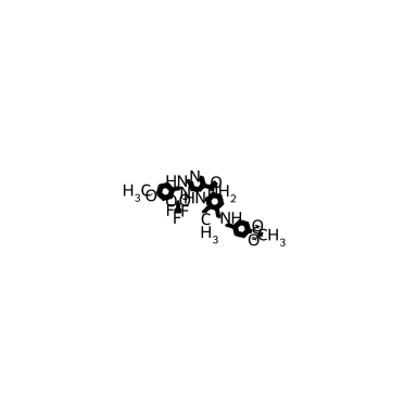 CCc1c(CNCc2ccc(S(C)(=O)=O)cc2)cccc1Nc1c(C(N)=O)cnc2c1N(OC(=O)C(F)(F)F)C(c1ccc(OC)cc1)N2